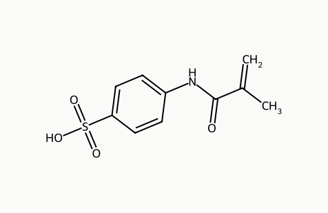 C=C(C)C(=O)Nc1ccc(S(=O)(=O)O)cc1